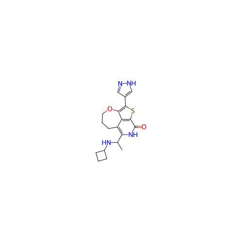 CC(NC1CCC1)c1[nH]c(=O)c2sc(-c3cn[nH]c3)c3c2c1CCCO3